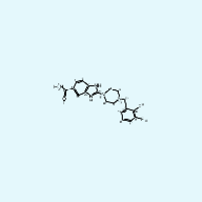 NC(=O)c1ccc2[nH]c(N3CCN(Cc4cccc(F)c4F)CC3)nc2c1